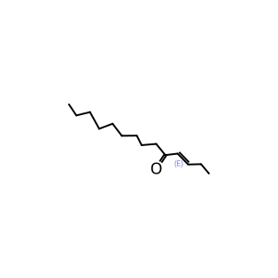 CC/C=C/C(=O)CCCCCCCCC